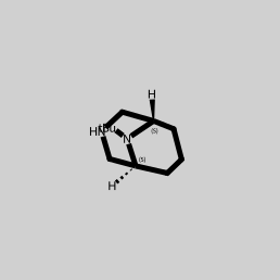 CC(C)(C)N1[C@H]2CCC[C@H]1CNC2